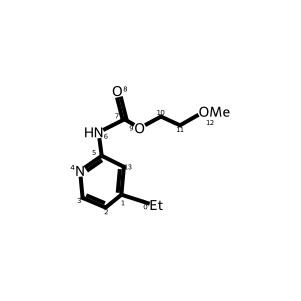 CCc1ccnc(NC(=O)OCCOC)c1